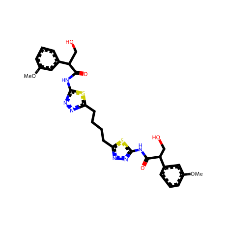 COc1cccc(C(CO)C(=O)Nc2nnc(CCCCc3nnc(NC(=O)C(CO)c4cccc(OC)c4)s3)s2)c1